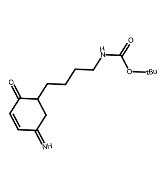 CC(C)(C)OC(=O)NCCCCC1CC(=N)C=CC1=O